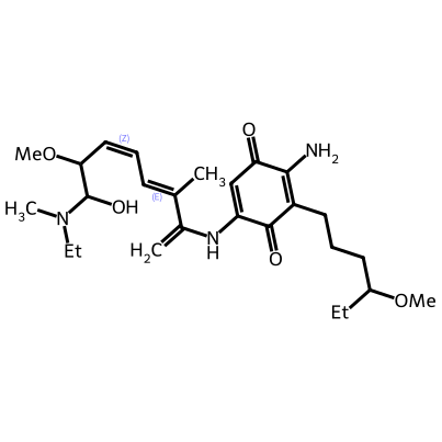 C=C(NC1=CC(=O)C(N)=C(CCCC(CC)OC)C1=O)/C(C)=C/C=C\C(OC)C(O)N(C)CC